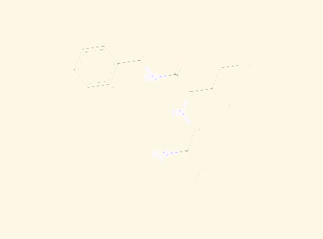 CCC(C)[C@H](NCC(N)CS)C(=O)NCc1ccccc1